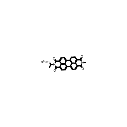 CCCCCC(C)N1C(=O)c2ccc3c4ccc5c6c(ccc(c7ccc(c2c37)C1=O)c64)C(=O)N(C)C5=O